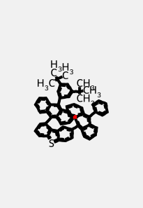 CC(C)(C)c1cc(-c2c3ccccc3c(-c3cccc4sc5ccc(-c6c7ccccc7c(-c7ccccc7)c7ccccc67)cc5c34)c3ccccc23)cc(C(C)(C)C)c1